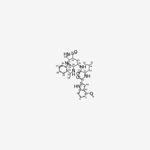 COc1cccc2[nH]c(C(=O)NC(CC(C)C)C(=O)NC(CC3CCNC3=O)C(C#N)NC(C)c3cc#ccc3)cc12